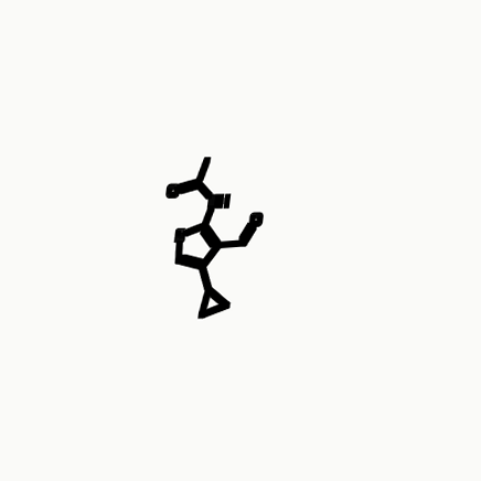 CC(=O)Nc1scc(C2CC2)c1C=O